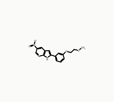 COCCOc1cccc(-c2cc3cc([N+](=O)[O-])cnc3[nH]2)c1